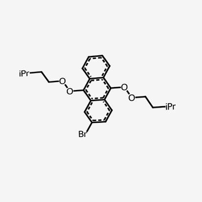 CC(C)CCOOc1c2ccccc2c(OOCCC(C)C)c2cc(Br)ccc12